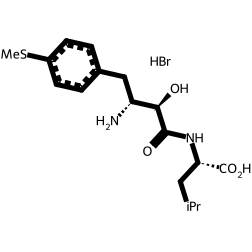 Br.CSc1ccc(C[C@@H](N)[C@@H](O)C(=O)N[C@@H](CC(C)C)C(=O)O)cc1